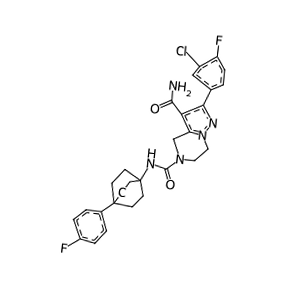 NC(=O)c1c(-c2ccc(F)c(Cl)c2)nn2c1CN(C(=O)NC13CCC(c4ccc(F)cc4)(CC1)CC3)CC2